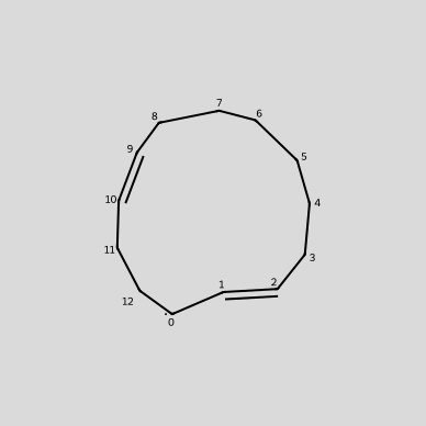 [CH]1/C=C/CCCCCC/C=C\CC1